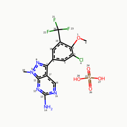 COc1c(Cl)cc(-c2nn(C)c3nc(N)ncc23)cc1C(F)(F)F.O=S(=O)(O)O